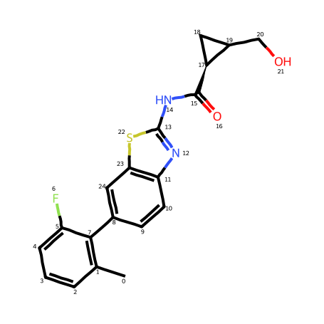 Cc1cccc(F)c1-c1ccc2nc(NC(=O)[C@H]3CC3CO)sc2c1